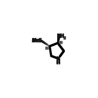 CS[C@H]1CNC[C@@H]1N